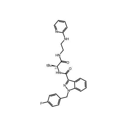 CC(C)(C)[C@H](NC(=O)c1nn(Cc2ccc(F)cc2)c2ccccc12)C(=O)NCCNc1ccccn1